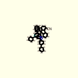 Cc1cc(F)c2c(c1)C1(c3cccc(C#N)c3-c3cccc(N(c4ccc(-c5ccccc5)cc4)c4cc(-c5ccccc5)cc(-c5ccccc5)c4)c31)C1C=CC=CC21